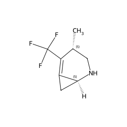 C[C@@H]1CN[C@H]2CC2=C1C(F)(F)F